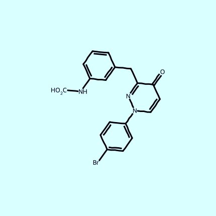 O=C(O)Nc1cccc(Cc2nn(-c3ccc(Br)cc3)ccc2=O)c1